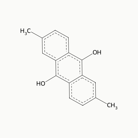 Cc1ccc2c(O)c3cc(C)ccc3c(O)c2c1